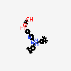 CC1(C)CC(C)(C)c2cc(-c3nc(-c4ccc(-c5ccc(BCOC(C)(C)C(C)(C)O)cc5)nc4)nc(-c4ccc5c(c4)C(C)(C)CC5(C)C)n3)ccc21